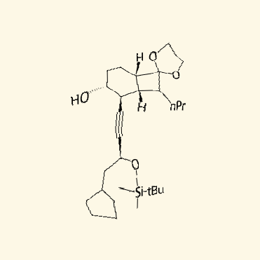 CCCC1[C@@H]2[C@@H](C#C[C@H](CC3CCCC3)O[Si](C)(C)C(C)(C)C)[C@H](O)CC[C@@H]2C12OCCO2